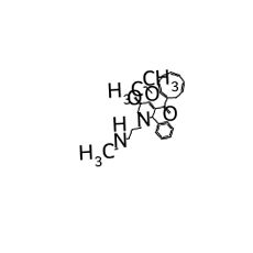 CCNCCCN1CC(=O)C(OC(C)C)=C(C(=O)C2=C=CC/C=C\C=C/C2)C1c1ccccc1